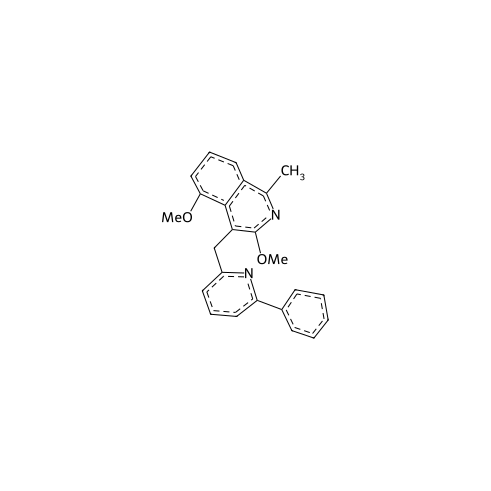 COc1nc(C)c2cccc(OC)c2c1Cc1cccc(-c2ccccc2)n1